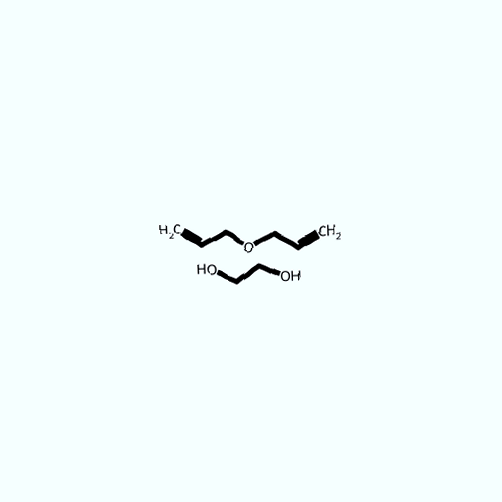 C=CCOCC=C.OCCO